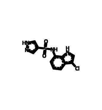 O=S(=O)(Nc1cccc2c(Cl)c[nH]c12)c1cn[nH]c1